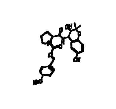 COc1ccc(COC(=O)N2CCC[C@H]2C(=O)NC2c3cc(C#N)ccc3OC(C)(C)C2O)cc1